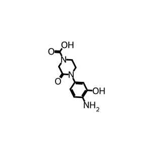 Nc1ccc(N2CCN(C(=O)O)CC2=O)cc1O